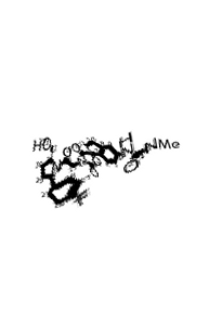 CNC(=O)Nc1ccc2c(c1)CC[C@@]21OC(=O)N(CC(=O)N2C(c3ccc(F)cc3)CC[C@@H]2CO)C1=O